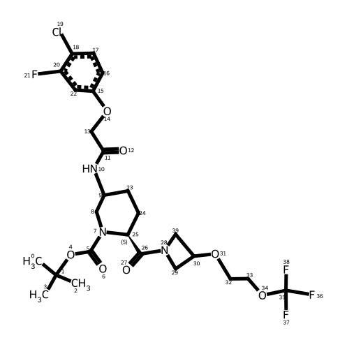 CC(C)(C)OC(=O)N1CC(NC(=O)COc2ccc(Cl)c(F)c2)CC[C@H]1C(=O)N1CC(OCCOC(F)(F)F)C1